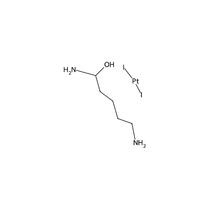 NCCCCC(N)O.[I][Pt][I]